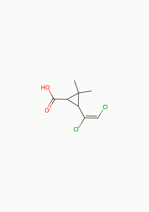 CC1(C)C(C(=O)O)C1/C(Cl)=C\Cl